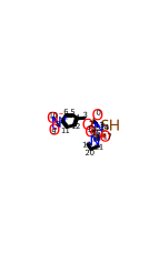 O=C(OCc1ccc([N+](=O)[O-])cc1)N(S)S(=O)(=O)N1CCC1